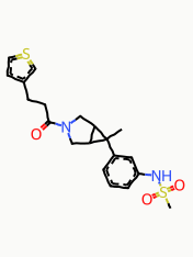 CC1(c2cccc(NS(C)(=O)=O)c2)C2CN(C(=O)CCc3ccsc3)CC21